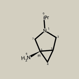 CC(C)N1CC2C[C@]2(N)C1